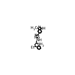 CCC(CC(N)CNc1nnc(-c2ccc3[nH]nc(C)c3c2)s1)c1ccccc1